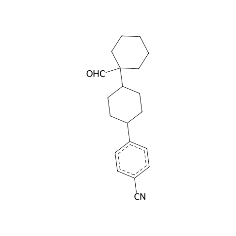 N#Cc1ccc(C2CCC(C3(C=O)CCCCC3)CC2)cc1